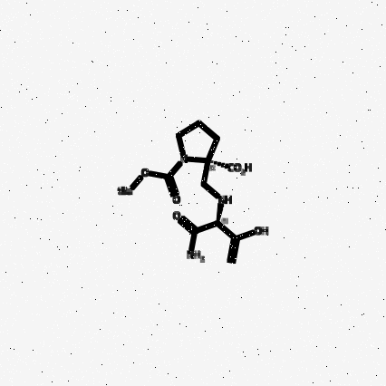 C=C(O)[C@H](NC[C@]1(C(=O)O)CCCN1C(=O)OC(C)(C)C)C(N)=O